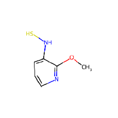 COc1ncccc1NS